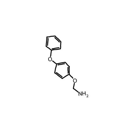 NCOc1ccc(Oc2ccccc2)cc1